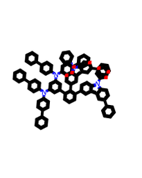 c1ccc(-c2ccc(N(c3ccc(-c4ccccc4)cc3)c3cc(-c4cccc(-c5ccc6c(c5)c5cc(-c7ccccc7)ccc5n6-c5ccccc5)c4-c4ccc5c(c4)c4cc(-c6ccccc6)ccc4n5-c4ccccc4)cc(N(c4ccc(-c5ccccc5)cc4)c4ccc(-c5ccccc5)cc4)c3)cc2)cc1